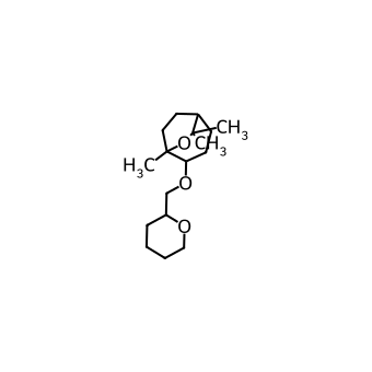 CC1(C)OC2(C)CCC1CCC2OCC1CCCCO1